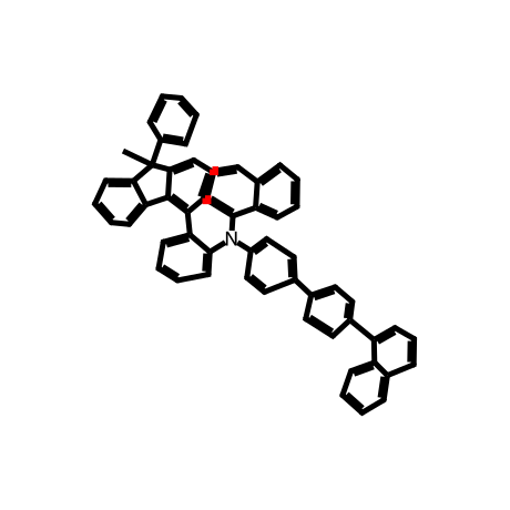 CC1(c2ccccc2)c2ccccc2-c2c(-c3ccccc3N(c3ccc(-c4ccc(-c5cccc6ccccc56)cc4)cc3)c3cccc4ccccc34)cccc21